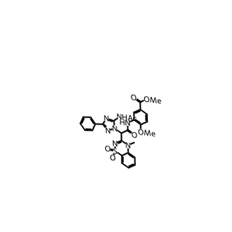 COC(=O)c1ccc(OC)c(NC(=O)C(C2=NS(=O)(=O)c3ccccc3N2C)n2nc(-c3ccccc3)nc2NC(C)=O)c1